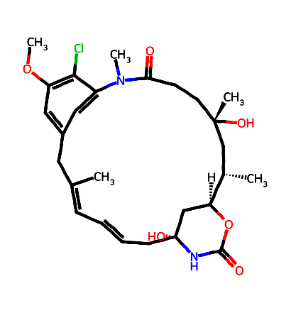 COc1cc2cc(c1Cl)N(C)C(=O)CC[C@](C)(O)C[C@H](C)[C@@H]1C[C@](O)(C/C=C/C=C(\C)C2)NC(=O)O1